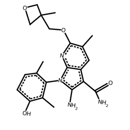 Cc1cc2c(C(N)=O)c(N)n(-c3c(C)ccc(O)c3C)c2nc1OCC1(C)COC1